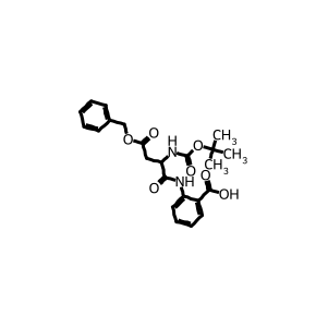 CC(C)(C)OC(=O)NC(CC(=O)OCc1ccccc1)C(=O)Nc1ccccc1C(=O)O